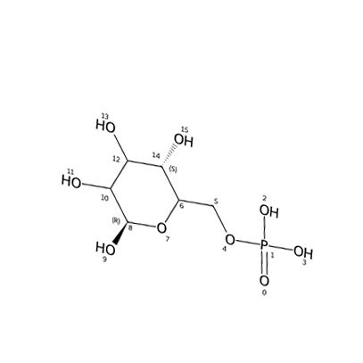 O=P(O)(O)OCC1O[C@@H](O)C(O)C(O)[C@@H]1O